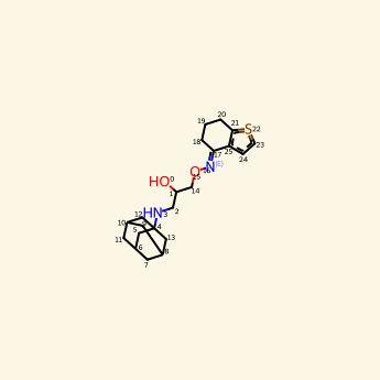 OC(CNC12CC3CC(CC(C3)C1)C2)CO/N=C1\CCCc2sccc21